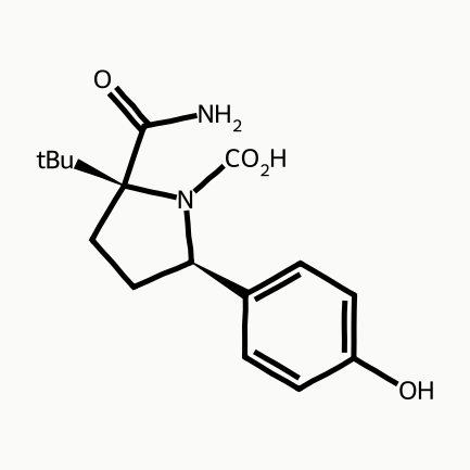 CC(C)(C)[C@]1(C(N)=O)CC[C@H](c2ccc(O)cc2)N1C(=O)O